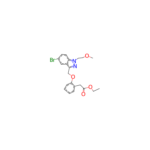 CCOC(=O)Cc1ccccc1OCc1nn(CCOC)c2ccc(Br)cc12